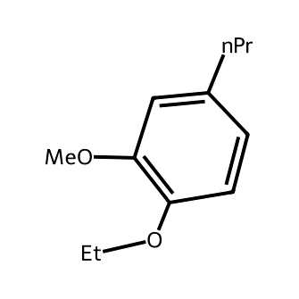 CCCc1ccc(OCC)c(OC)c1